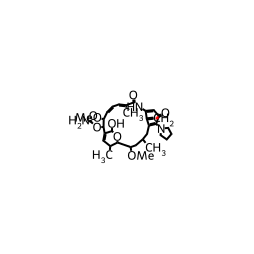 C=C1C2=CC(=O)C(N3CCCC3)=C1CC(C)CC(OC)C1OC(O)C(=CC1C)C(OC(N)=O)C(OC)/C=C\C=C(/C)C(=O)N2